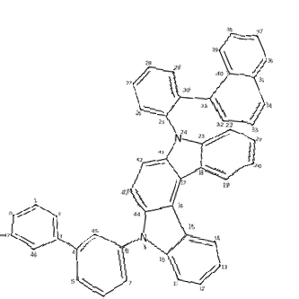 c1ccc(-c2cccc(-n3c4ccccc4c4c5c6ccccc6n(-c6ccccc6-c6cccc7ccccc67)c5ccc43)c2)cc1